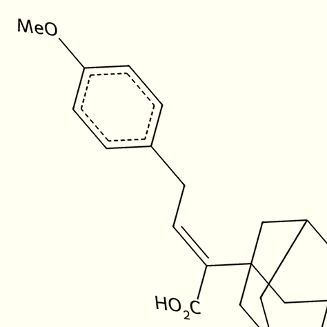 COc1ccc(C/C=C(/C(=O)O)C23CC4CC(CC(C4)C2)C3)cc1